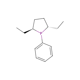 CC[C@H]1CC[C@H](CC)P1c1ccccc1